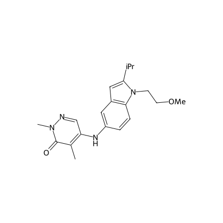 COCCn1c(C(C)C)cc2cc(Nc3cnn(C)c(=O)c3C)ccc21